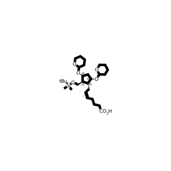 CC(C)(C)[Si](C)(C)OC[C@@H]1[C@@H](C/C=C\CCCC(=O)O)[C@@H](OC2CCCCO2)C[C@H]1OC1CCCCO1